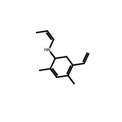 C=CC1=C(C)C=C(C)C(N/C=C\C)C1